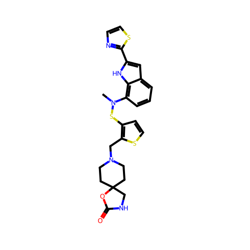 CN(Sc1ccsc1CN1CCC2(CC1)CNC(=O)O2)c1cccc2cc(-c3nccs3)[nH]c12